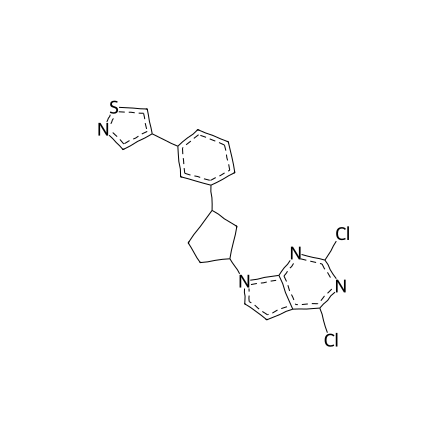 Clc1nc(Cl)c2ccn(C3CCC(c4cccc(-c5cnsc5)c4)C3)c2n1